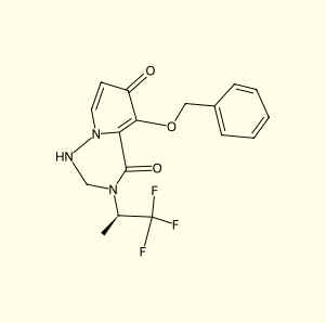 C[C@@H](N1CNn2ccc(=O)c(OCc3ccccc3)c2C1=O)C(F)(F)F